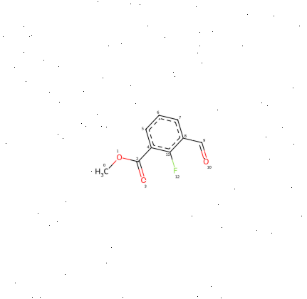 COC(=O)c1cccc(C=O)c1F